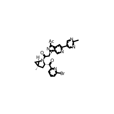 CC(=O)c1nn(CC(=O)N2[C@H](C(=O)c3cccc(Br)n3)C[C@@]3(C)C[C@@H]23)c2cnc(-c3cnc(C)nc3)cc12